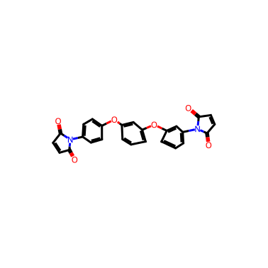 O=C1C=CC(=O)N1c1ccc(Oc2cccc(Oc3cccc(N4C(=O)C=CC4=O)c3)c2)cc1